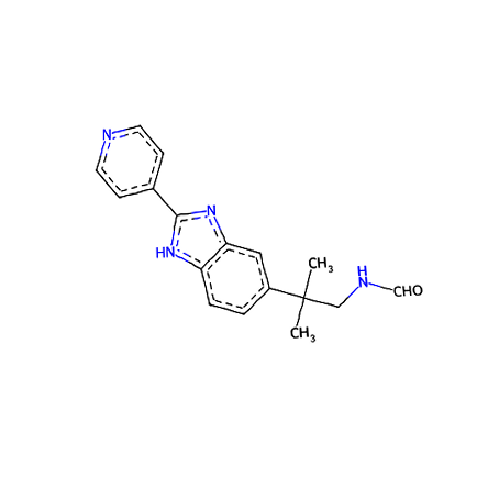 CC(C)(CNC=O)c1ccc2[nH]c(-c3ccncc3)nc2c1